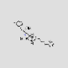 Cc1cccc(C[C@H](O)/C=C/[C@@H]2[C@H]3CC(CCCCc4ccccn4)=C[C@H]3C[C@H]2O)c1